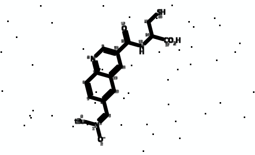 CC(C)(C)/[N+]([O-])=C\c1ccc2ncc(C(=O)NC(CS)C(=O)O)cc2c1